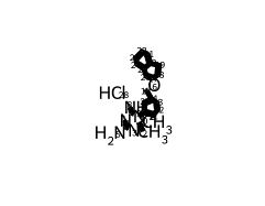 CC1(C)N=C(N)N=C(N)N1c1cccc(COc2ccc3ccccc3c2)c1.Cl